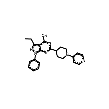 CCc1nn(-c2ccccc2)c2nc(C3CCN(c4ccncc4)CC3)nc(O)c12